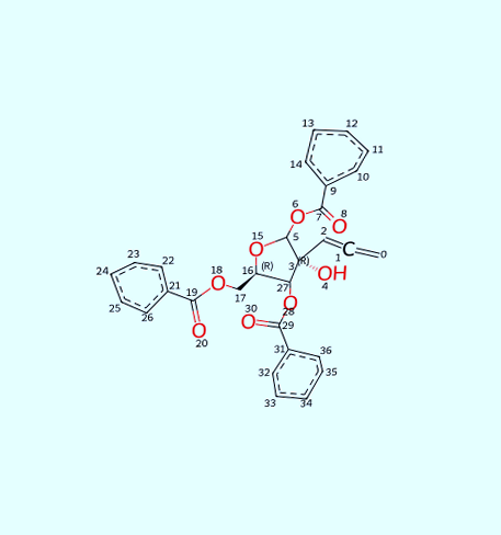 C=C=C[C@]1(O)C(OC(=O)c2ccccc2)O[C@H](COC(=O)c2ccccc2)C1OC(=O)c1ccccc1